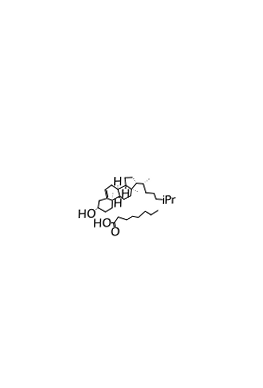 CC(C)CCC[C@@H](C)[C@H]1CC[C@H]2[C@@H]3CC=C4C[C@@H](O)CC[C@]4(C)[C@H]3CC[C@]12C.CCCCCCCC(=O)O